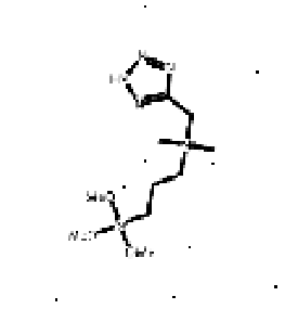 CO[Si](CCC[N+](C)(C)Cc1nn[nH]n1)(OC)OC